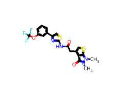 Cn1c(=O)c2c(CC(=O)Nc3nc(-c4cccc(OC(F)(F)F)c4)cs3)csc2n1C